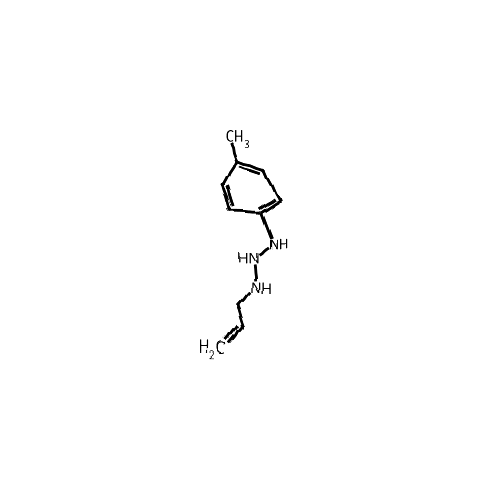 C=CCNNNc1ccc(C)cc1